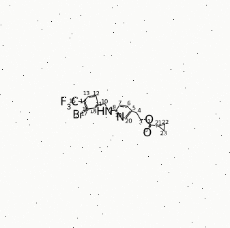 O=C(OCCc1ccc(NCc2ccc(C(F)(F)F)c(Br)c2)nc1)C1CC1